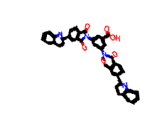 O=C(O)c1cc(N2OCc3cc(-c4ccc5ccccc5n4)ccc3C2=O)cc(N2C(=O)c3ccc(-c4ccc5ccccc5n4)cc3C2=O)c1